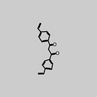 C=Cc1ccc(C(=O)CC(=O)c2ccc(C=C)cc2)cc1